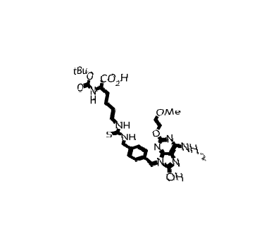 COCCOc1nc(N)c2nc(O)n(Cc3ccc(CNC(=S)NCCCCC(NC(=O)OC(C)(C)C)C(=O)O)cc3)c2n1